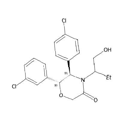 CCC(CO)N1C(=O)CO[C@H](c2cccc(Cl)c2)[C@H]1c1ccc(Cl)cc1